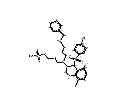 CS(=O)(=O)OCCCN(CCCOCc1ccccc1)C1COc2c(F)ccc(F)c2C1S(=O)(=O)c1ccc(Cl)cc1